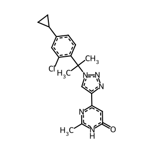 Cc1nc(-c2cn(C(C)(C)c3ccc(C4CC4)cc3Cl)nn2)cc(=O)[nH]1